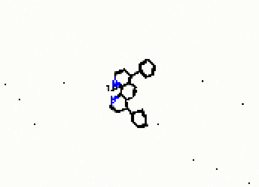 [Ru+2].c1ccc(-c2ccnc3c2ccc2c(-c4ccccc4)ccnc23)cc1